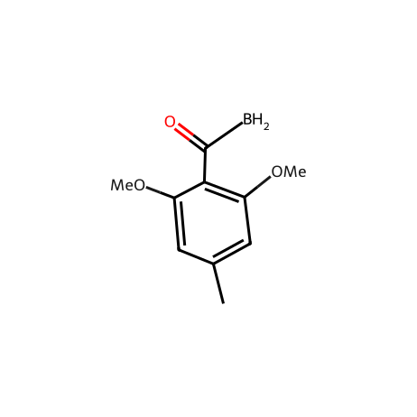 BC(=O)c1c(OC)cc(C)cc1OC